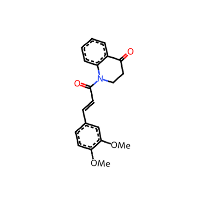 COc1ccc(/C=C/C(=O)N2CCC(=O)c3ccccc32)cc1OC